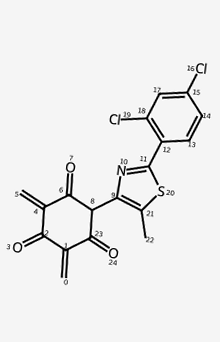 C=C1C(=O)C(=C)C(=O)C(c2nc(-c3ccc(Cl)cc3Cl)sc2C)C1=O